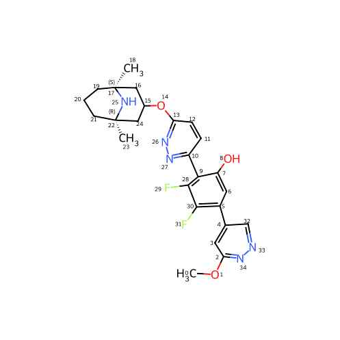 COc1cc(-c2cc(O)c(-c3ccc(OC4C[C@]5(C)CCC[C@](C)(C4)N5)nn3)c(F)c2F)cnn1